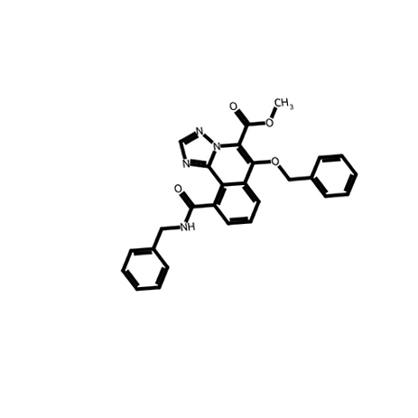 COC(=O)c1c(OCc2ccccc2)c2cccc(C(=O)NCc3ccccc3)c2c2ncnn12